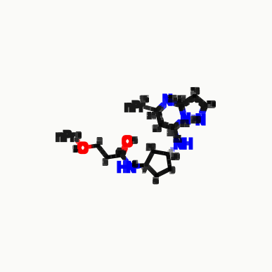 CCCOCCC(=O)N[C@@H]1CC[C@@H](Nc2cc(CCC)nc3ccnn23)C1